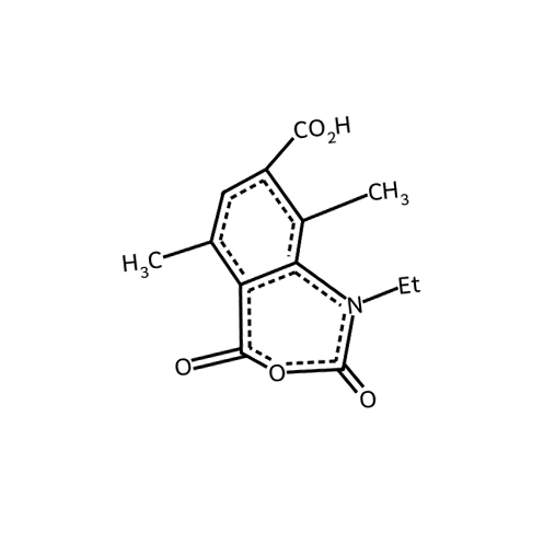 CCn1c(=O)oc(=O)c2c(C)cc(C(=O)O)c(C)c21